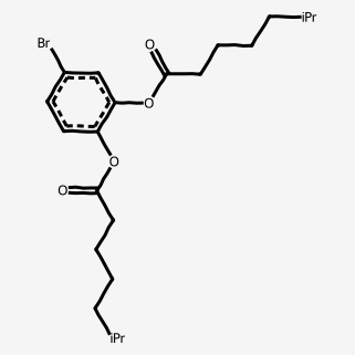 CC(C)CCCCC(=O)Oc1ccc(Br)cc1OC(=O)CCCCC(C)C